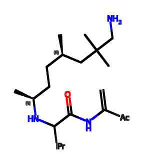 C=C(NC(=O)C(N[C@@H](C)CC[C@@H](C)CC(C)(C)CN)C(C)C)C(C)=O